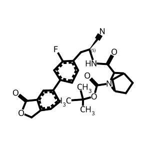 CC(C)(C)OC(=O)N1C2CCC(C2)C1C(=O)N[C@H](C#N)Cc1ccc(-c2ccc3c(c2)C(=O)OC3)cc1F